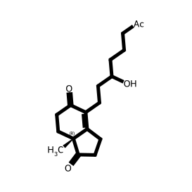 CC(=O)CCCC(O)CCC1=C2CCC(=O)[C@]2(C)CCC1=O